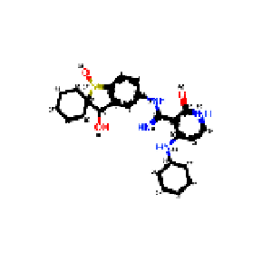 N=C(Nc1ccc2c(c1)C(O)C1(CCCCC1)[S+]2[O-])c1c(NC2CCCCC2)cc[nH]c1=O